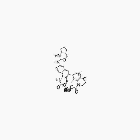 Cc1c(-c2cc3cc(NC(=O)NC4CCCC4F)ncc3c(NC(=O)OC(C)(C)C)c2F)cnc2c1N(C(=O)OC(C)(C)C)CCO2